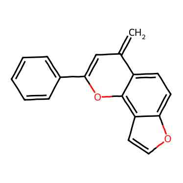 C=C1C=C(c2ccccc2)Oc2c1ccc1occc21